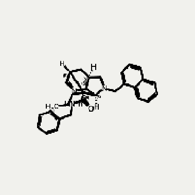 CCC[C@@H]1[C@@H]2C=N[C@@]3(C(=O)NCc4ccccc4)[C@@H](C2)CN(Cc2cccc4ccccc24)[C@@H]13